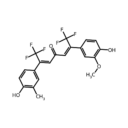 COc1cc(/C(=C/C(=O)/C=C(/c2ccc(O)c(C)c2)C(F)(F)F)C(F)(F)F)ccc1O